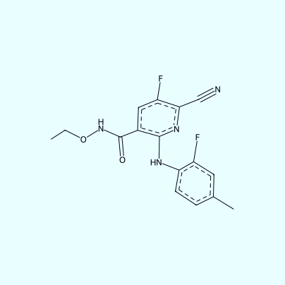 CCONC(=O)c1cc(F)c(C#N)nc1Nc1ccc(C)cc1F